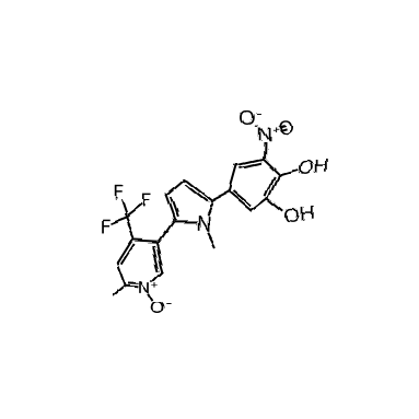 Cc1cc(C(F)(F)F)c(-c2ccc(-c3cc(O)c(O)c([N+](=O)[O-])c3)n2C)c[n+]1[O-]